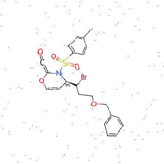 Cc1ccc(S(=O)(=O)N2C(=C=O)OC=C[C@@H]2C(Br)CCOCc2ccccc2)cc1